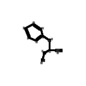 CCOC(C=O)Oc1cc[c]cc1